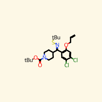 C=CCOc1cc(Cl)c(Cl)cc1/C(=N/SC(C)(C)C)C1CCN(C(=O)OC(C)(C)C)CC1